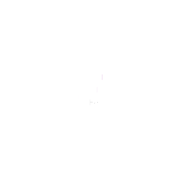 [Fe].[I].[I].[I]